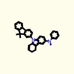 CN(c1ccccc1)c1ccc2c(c1)c1c(n2-c2ccc3c(c2)C(C)(C)c2ccccc2-3)C=CCC1